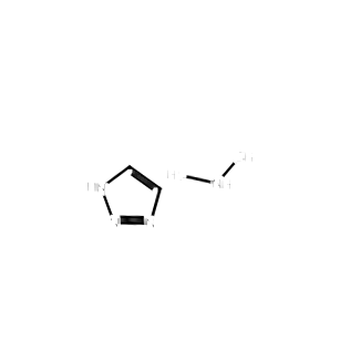 SNS.c1c[nH]nn1